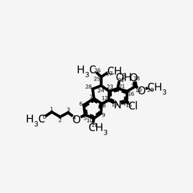 CCCCOc1cc2c(cc1C)-c1nc(Cl)c(C(=O)OC)c(O)c1C(C(C)C)C2